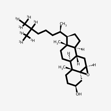 [2H]C([2H])([2H])C([2H])(CCC[C@@H](C)[C@H]1CC[C@H]2[C@@H]3C[C@H]4O[C@]45C[C@@H](O)CC[C@]5(C)[C@H]3CC[C@]12C)C([2H])([2H])[2H]